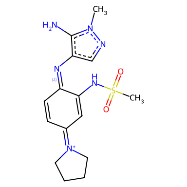 Cn1ncc(/N=C2/C=CC(=[N+]3CCCC3)C=C2NS(C)(=O)=O)c1N